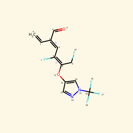 C=C/C(C=O)=C\C(F)=C(/CF)Oc1cnn(C(F)(F)F)c1